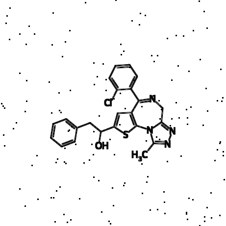 Cc1nnc2n1-c1sc(C(O)Cc3ccccc3)cc1C(c1ccccc1Cl)=NC2